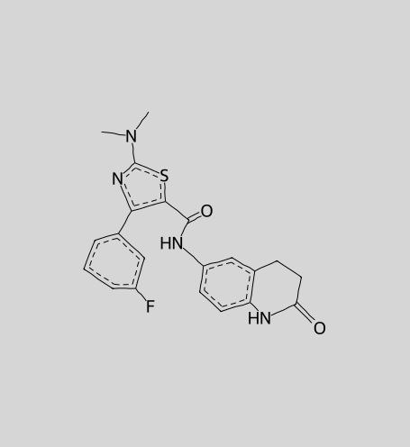 CN(C)c1nc(-c2cccc(F)c2)c(C(=O)Nc2ccc3c(c2)CCC(=O)N3)s1